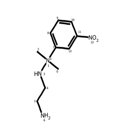 C[N+](C)(NCCN)c1cccc([N+](=O)[O-])c1